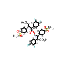 CC(=O)OC/C(=C(/C(=O)OC/C(=C(/C(=O)O)c1ccc(F)c(F)c1)c1ccc(S(C)(=O)=O)cc1)c1ccc(F)c(F)c1)c1ccc(S(C)(=O)=O)cc1